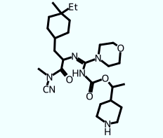 CCC1(C)CCC(CC(N=C(NC(=O)OC(C)C2CCNCC2)N2CCOCC2)C(=O)N(C)C#N)CC1